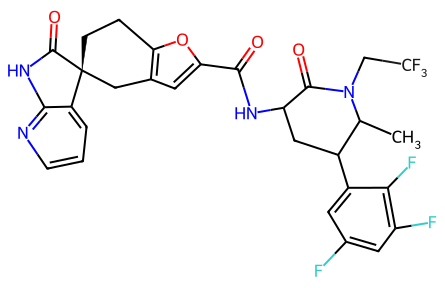 CC1C(c2cc(F)cc(F)c2F)CC(NC(=O)c2cc3c(o2)CC[C@]2(C3)C(=O)Nc3ncccc32)C(=O)N1CC(F)(F)F